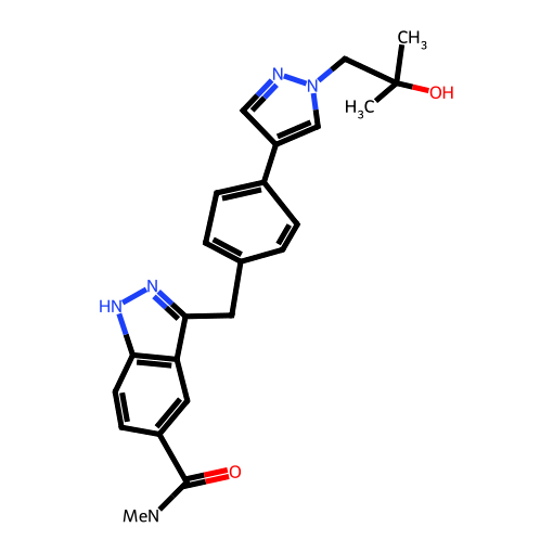 CNC(=O)c1ccc2[nH]nc(Cc3ccc(-c4cnn(CC(C)(C)O)c4)cc3)c2c1